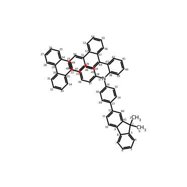 CC1(C)c2ccccc2-c2ccc(-c3ccc(N(c4ccc(-c5cc6ccccc6c6ccccc56)cc4)c4ccccc4-c4cc5ccccc5c5ccccc45)cc3)cc21